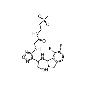 CS(=O)(=O)CCNC(=O)CNc1nonc1/C(=N/O)NC1CCc2ccc(F)c(F)c21